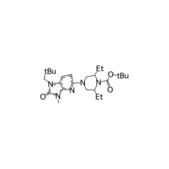 CCC1CN(c2ccc3c(n2)n(C)c(=O)n3CC(C)(C)C)CC(CC)N1C(=O)OC(C)(C)C